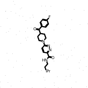 CC(C)CCNC(=O)c1ccc(N2CCC(C(=O)c3ccc(F)cc3)CC2)nn1